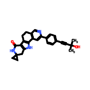 CC(C)(O)C#Cc1ccc(-c2cc3c(cn2)CCc2c-3[nH]c3c2C(=O)NC2(CC2)C3)cc1